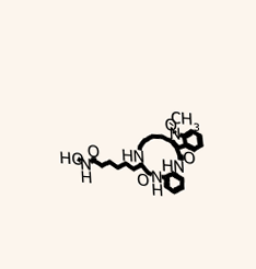 COn1c2c(c3ccccc31)C(=O)Nc1ccccc1NC(=O)C(CCCCCC(=O)NO)NCCCC2